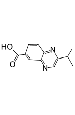 CC(C)c1cnc2cc(C(=O)O)ccc2n1